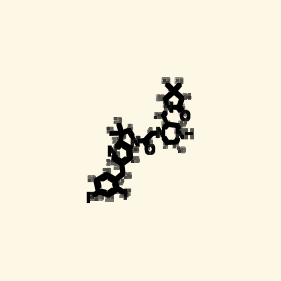 C[C@@H]1CN(CC(=O)N2CC(C)(C)c3ncc(Cc4ccc(F)cc4F)cc32)[C@@H](CN2CC(C)(C)CC2=O)CN1